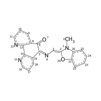 CN1/C(=C/N=C2\C(=O)c3cccnc3-c3ncccc32)Oc2ccccc21